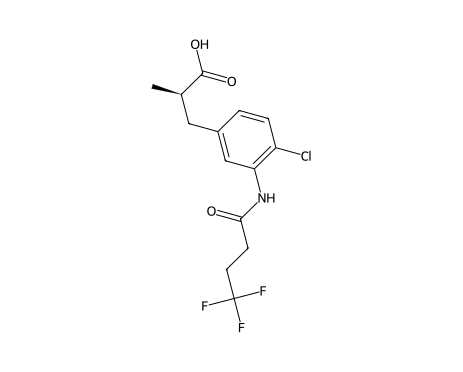 C[C@H](Cc1ccc(Cl)c(NC(=O)CCC(F)(F)F)c1)C(=O)O